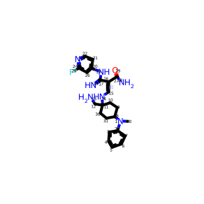 CN(c1ccccc1)C1CCC(CN)(N/C=C(\C(=N)Nc2ccnc(F)c2)C(N)=O)CC1